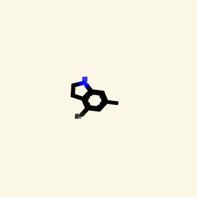 Cc1cc2c(c(C(C)C)c1)CCN2